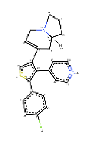 Fc1ccc(-c2scc(C3=CCN4CCC[C@H]4C3)c2-c2ccncc2)cc1